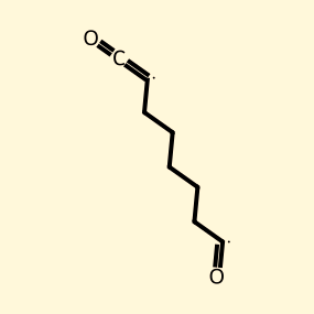 O=[C]CCCCC[C]=C=O